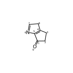 O=C1CCC2=C1N=CC2